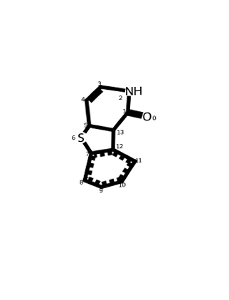 O=C1NC=CC2Sc3ccccc3C12